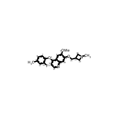 COc1cc2c(Oc3ccc(C)cc3F)ccnc2cc1OCC1CN(C)C1